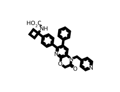 O=C(O)NC1(c2ccc(-c3nc4c(cc3-c3ccccc3)N(Cc3ccncc3)C(=O)CO4)cc2)CCC1